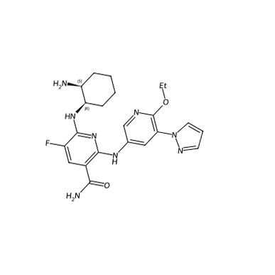 CCOc1ncc(Nc2nc(N[C@@H]3CCCC[C@@H]3N)c(F)cc2C(N)=O)cc1-n1cccn1